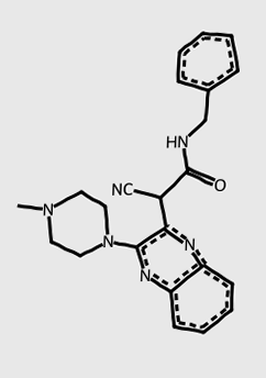 CN1CCN(c2nc3ccccc3nc2C(C#N)C(=O)NCc2ccccc2)CC1